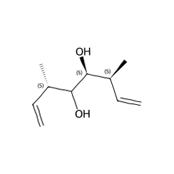 C=C[C@H](C)C(O)[C@@H](O)[C@@H](C)C=C